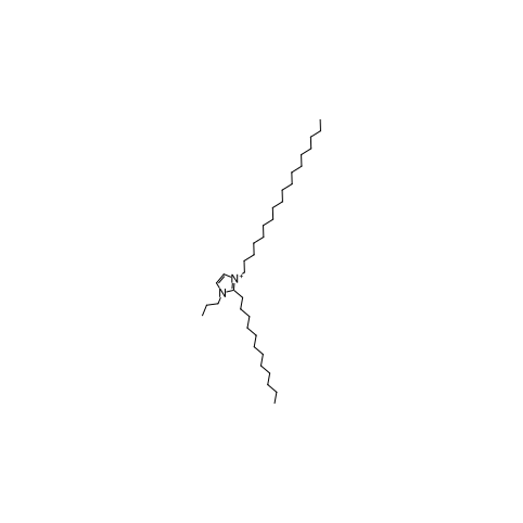 CCCCCCCCCCCCCCCCCC[n+]1ccn(CCC)c1CCCCCCCCCCCC